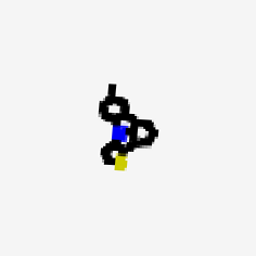 Cc1ccc2c(c1)c1cccc3c4sccc4n2c13